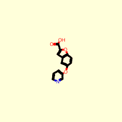 O=C(O)c1cc2cc(Oc3cccnc3)ccc2o1